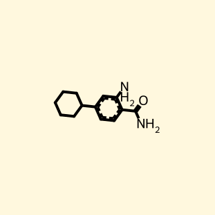 NC(=O)c1ccc(C2CCCCC2)cc1N